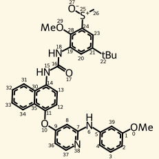 COc1cccc(Nc2cc(Oc3ccc(NC(=O)Nc4cc(C(C)(C)C)cc([S+](C)[O-])c4OC)c4ccccc34)ccn2)c1